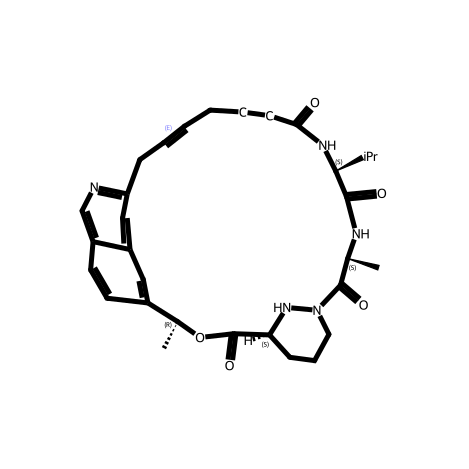 CC(C)[C@@H]1NC(=O)CCC/C=C/Cc2cc3cc(ccc3cn2)[C@@H](C)OC(=O)[C@@H]2CCCN(N2)C(=O)[C@H](C)NC1=O